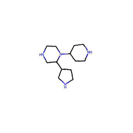 C1CC(N2CCNCC2C2CCNC2)CCN1